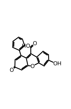 O=C(O)c1c2c(-c3ccccc3)cc(=O)cc-2oc2cc(O)ccc12